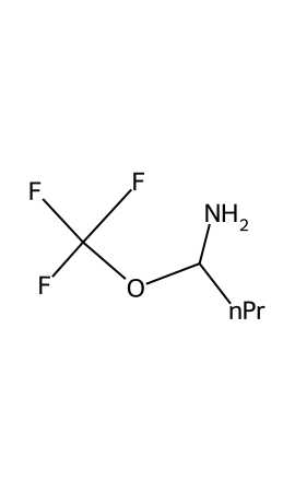 CCCC(N)OC(F)(F)F